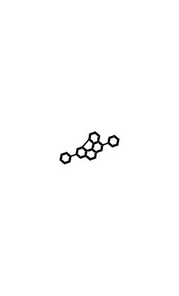 c1ccc(-c2cc3c4c(ccc5cc(-c6ccccc6)c6cccc-3c6c54)c2)cc1